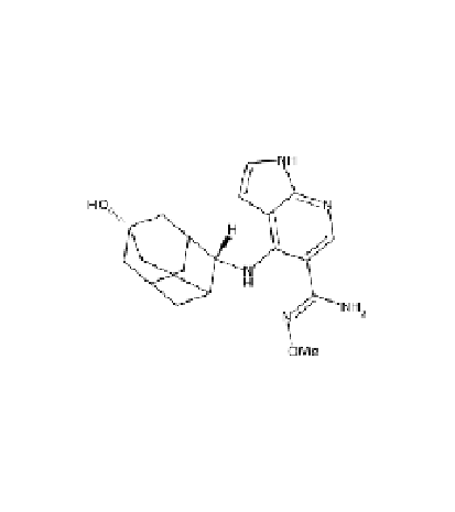 CON=C(N)c1cnc2[nH]ccc2c1N[C@H]1C2CC3CC1C[C@@](O)(C3)C2